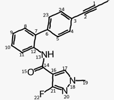 CC#Cc1ccc(-c2ccccc2NC(=O)c2cn(C)nc2F)cc1